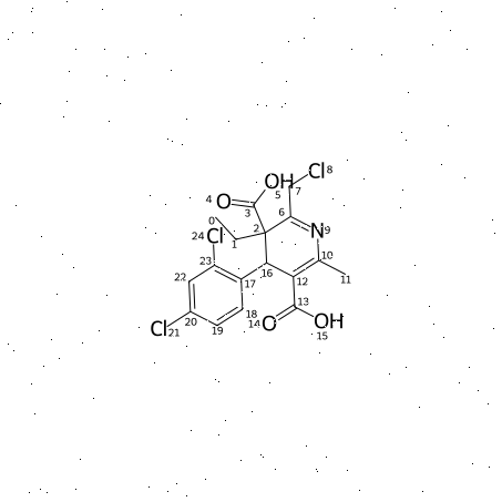 CCC1(C(=O)O)C(CCl)=NC(C)=C(C(=O)O)C1c1ccc(Cl)cc1Cl